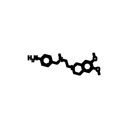 COc1cc2c(cc1OC)CN(CCN(C)Cc1ccc(N)cc1)CC2